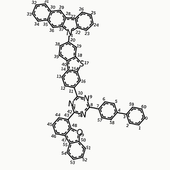 c1ccc(-c2ccc(-c3nc(-c4ccc5c(c4)sc4cc(-n6c7ccccc7c7cc8ccccc8cc76)ccc45)nc(-c4cccc5c4oc4ccccc45)n3)cc2)cc1